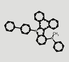 CN(c1ccccc1)c1cccc2c1c1c3ccccc3c3ccccc3c1n2-c1ccc(-c2ccccc2)cc1